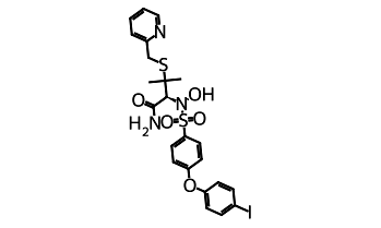 CC(C)(SCc1ccccn1)[C@H](C(N)=O)N(O)S(=O)(=O)c1ccc(Oc2ccc(I)cc2)cc1